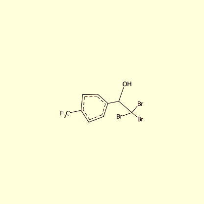 OC(c1ccc(C(F)(F)F)cc1)C(Br)(Br)Br